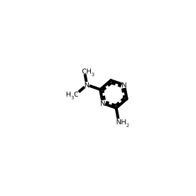 CN(C)c1cncc(N)n1